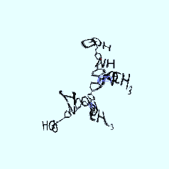 CO/N=C(\COc1cccc(CNc2ccc(CCC(=O)O)cc2)c1)c1ccc(-c2ccc(/C(=N/OC)c3ccc(CNc4ccc(CCC(=O)O)cc4)cc3)cc2)cc1